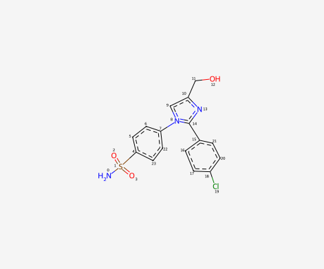 NS(=O)(=O)c1ccc(-n2cc(CO)nc2-c2ccc(Cl)cc2)cc1